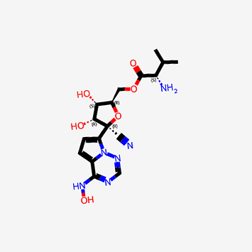 CC(C)[C@H](N)C(=O)OC[C@H]1O[C@@](C#N)(c2ccc3c(NO)ncnn23)[C@H](O)[C@@H]1O